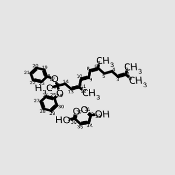 CC(C)=CCCC(C)=CC=CC(C)=CCC(C)(Oc1ccccc1)Oc1ccccc1.O=C(O)/C=C\C(=O)O